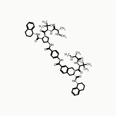 CN[C@@H](C)C(=O)N[C@H](C(=O)N1Cc2cc(C(=O)Nc3ccc(C(=O)N[C@H]4C[C@@H](C(=O)N[C@@H]5CCCc6ccccc65)N(C(=O)[C@@H](NC(=O)[C@H](C)NC)C(C)(C)C)C4)cc3)ccc2C[C@H]1C(=O)N[C@@H]1CCCc2ccccc21)C(C)(C)C